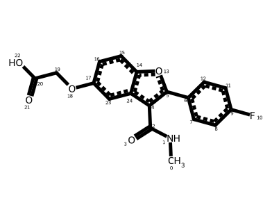 CNC(=O)c1c(-c2ccc(F)cc2)oc2ccc(OCC(=O)O)cc12